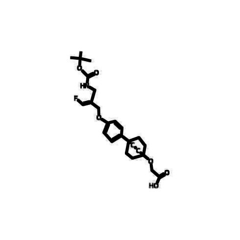 CC(C)(C)OC(=O)NCC(=CF)COc1ccc(C23CCC(OCC(=O)O)(CC2)CC3)cc1